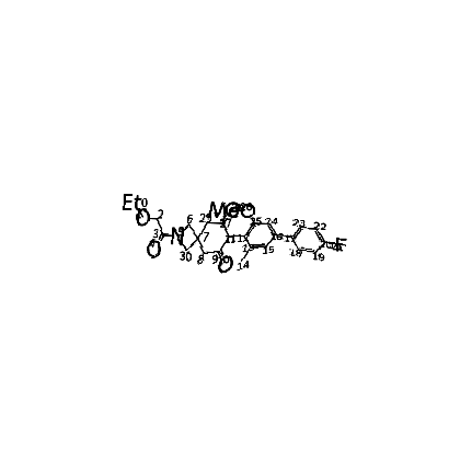 CCOCC(=O)N1CC2(CC(=O)C(c3c(C)cc(-c4ccc(F)cc4)cc3OC)C(=O)C2)C1